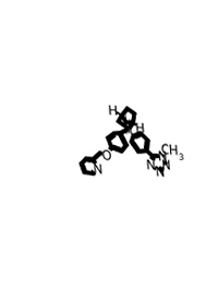 Cn1nnnc1-c1ccc([C@]2(c3ccc(OCc4ccccn4)cc3)C[C@@H]3CC[C@H]2C3)cc1